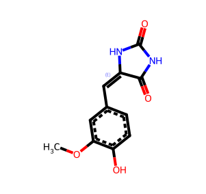 COc1cc(/C=C2/NC(=O)NC2=O)ccc1O